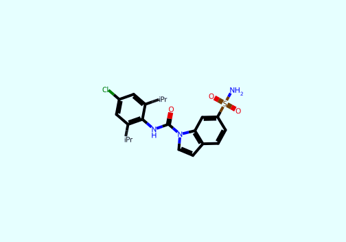 CC(C)c1cc(Cl)cc(C(C)C)c1NC(=O)n1ccc2ccc(S(N)(=O)=O)cc21